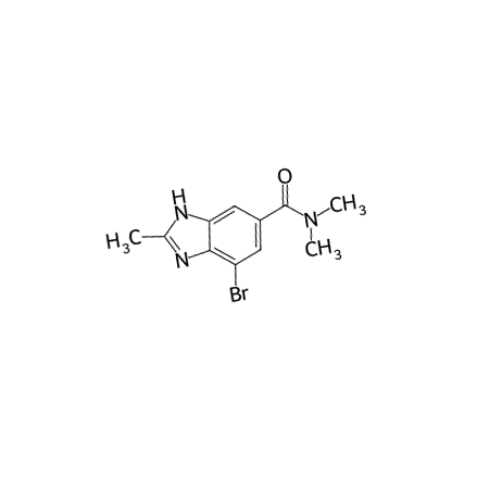 Cc1nc2c(Br)cc(C(=O)N(C)C)cc2[nH]1